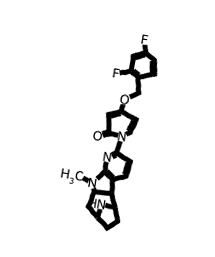 CN1c2nc(-n3ccc(OCc4ccc(F)cc4F)cc3=O)ccc2C2C3CCC(CC21)N3